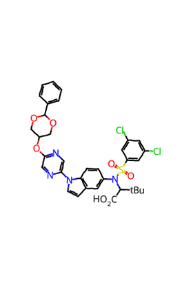 CC(C)(C)C(C(=O)O)N(c1ccc2c(ccn2-c2cnc(OC3COC(c4ccccc4)OC3)cn2)c1)S(=O)(=O)c1cc(Cl)cc(Cl)c1